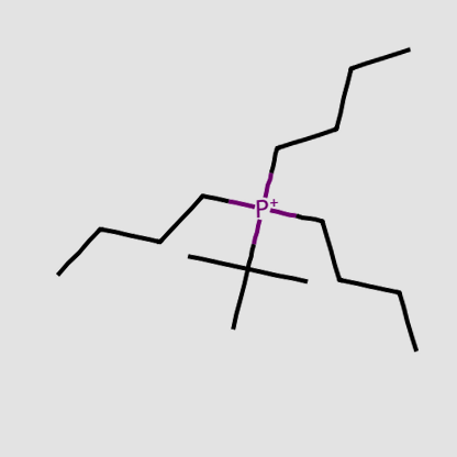 CCCC[P+](CCCC)(CCCC)C(C)(C)C